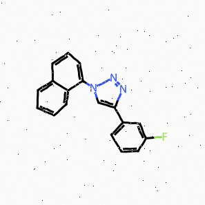 Fc1cccc(-c2cn(-c3cccc4ccccc34)nn2)c1